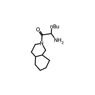 CCCCC(N)C(=O)N1CCC2CCCCC2C1